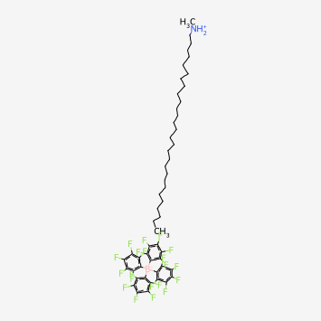 CCCCCCCCCCCCCCCCCCCCCCCCCCCC[NH2+]C.Fc1c(F)c(F)c([B-](c2c(F)c(F)c(F)c(F)c2F)(c2c(F)c(F)c(F)c(F)c2F)c2c(F)c(F)c(F)c(F)c2F)c(F)c1F